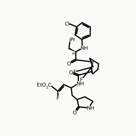 CCOC(=O)C(F)=CC(CC1CCNC1=O)NC(=O)C1C2CCC(CC2(F)F)N1C(=O)[C@@H](CC(C)C)Nc1cccc(Cl)c1